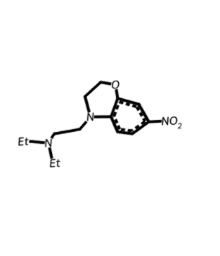 CCN(CC)CCN1CCOc2cc([N+](=O)[O-])ccc21